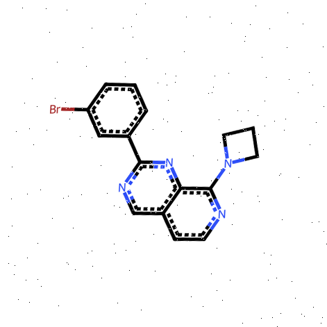 Brc1cccc(-c2ncc3ccnc(N4CCC4)c3n2)c1